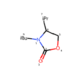 CCC(C)N1C(=O)OCC1C(C)C